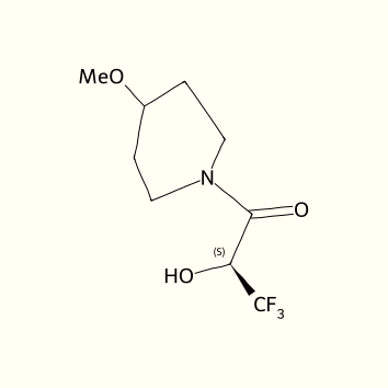 COC1CCN(C(=O)[C@H](O)C(F)(F)F)CC1